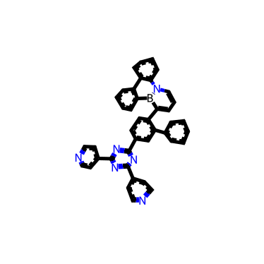 C1=CN2B(C(c3ccc(-c4nc(-c5ccncc5)nc(-c5ccncc5)n4)cc3-c3ccccc3)=C1)c1ccccc1-c1ccccc12